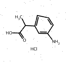 CC(C(=O)O)c1cccc(N)c1.Cl